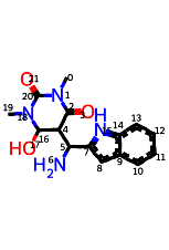 CN1C(=O)C(C(N)c2cc3ccccc3[nH]2)C(O)N(C)C1=O